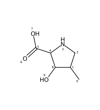 CC1CNC(C(=O)O)C1O